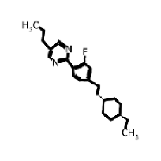 CCCc1cnc(-c2ccc(CC[C@H]3CC[C@H](CC)CC3)cc2F)nc1